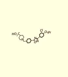 CC(C)Oc1ccc(-c2noc(-c3ccc(CN4CCC(C(=O)O)CC4)cc3)n2)cc1Cl